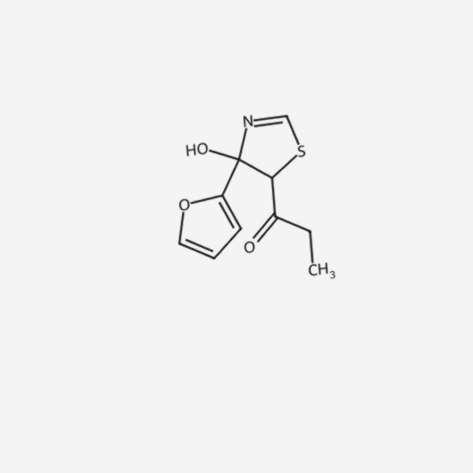 CCC(=O)C1SC=NC1(O)c1ccco1